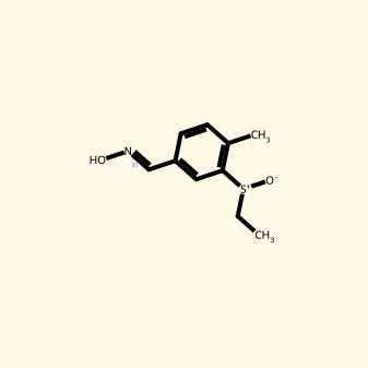 CC[S+]([O-])c1cc(/C=N/O)ccc1C